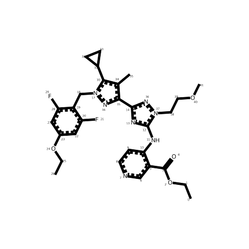 CCOC(=O)c1cnccc1Nc1nc(-c2nn(Cc3c(F)cc(OCC)cc3F)c(C3CC3)c2C)nn1CCOC